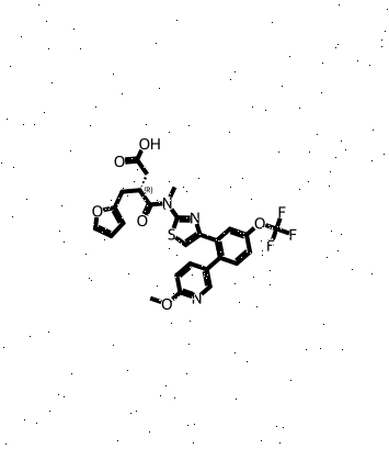 COc1ccc(-c2ccc(OC(F)(F)F)cc2-c2csc(N(C)C(=O)[C@@H](CC(=O)O)Cc3ccco3)n2)cn1